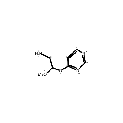 COC(CN)Oc1ccncn1